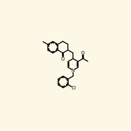 CC(=O)C1=CN(Cc2ccccc2Cl)C=CC1CC1CCc2cc(C)ccc2C1=O